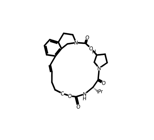 CC(C)[C@@H]1NC(=O)OCCC/C=C/c2cccc3c2CN(CC3)C(=O)O[C@@H]2CCN(C2)C1=O